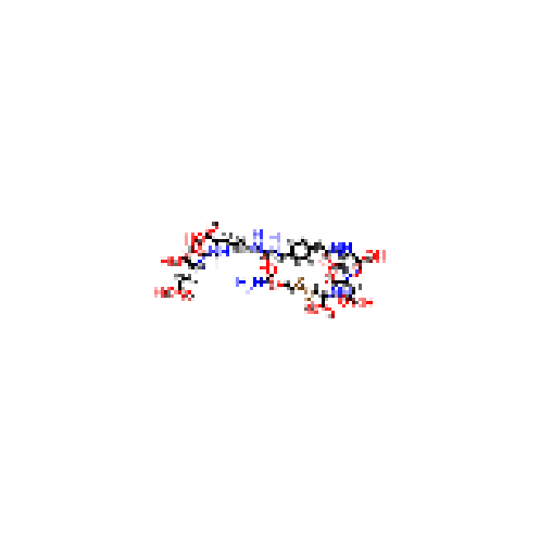 NC(=O)OCCSSC[C@@H](NC(=O)[C@H](CC(=O)O)NC(=O)[C@H](CC(=O)O)NC(=O)Cc1ccc(CNC(=O)NCCCC[C@@H](NC(=O)N[C@@H](CCC(=O)O)C(=O)O)C(=O)O)cc1)C(=O)O